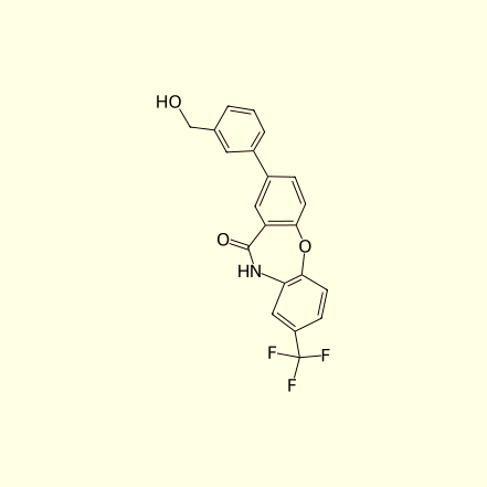 O=C1Nc2cc(C(F)(F)F)ccc2Oc2ccc(-c3cccc(CO)c3)cc21